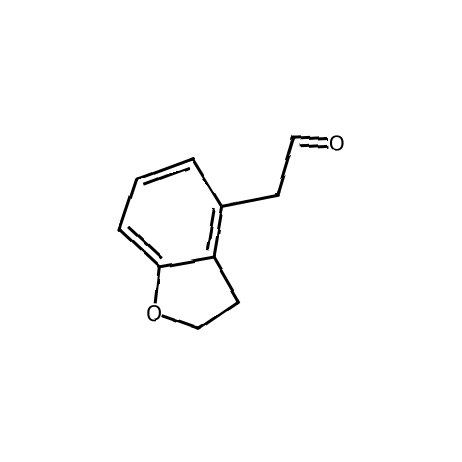 O=CCc1cccc2c1CCO2